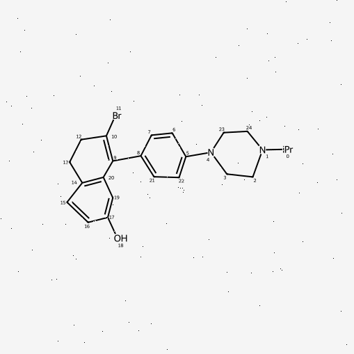 CC(C)N1CCN(c2ccc(C3=C(Br)CCc4ccc(O)cc43)cc2)CC1